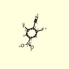 N#Cc1c(F)cc([N+](=O)[O-])cc1F